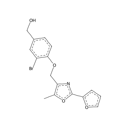 Cc1oc(-c2ccco2)nc1COc1ccc(CO)cc1Br